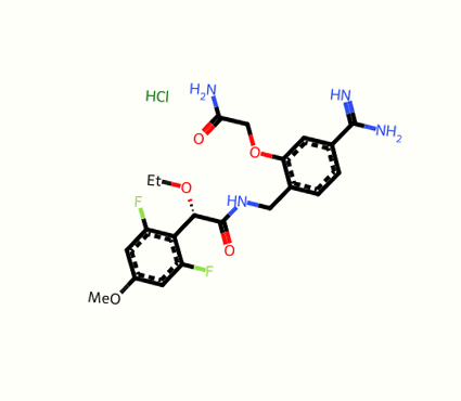 CCO[C@H](C(=O)NCc1ccc(C(=N)N)cc1OCC(N)=O)c1c(F)cc(OC)cc1F.Cl